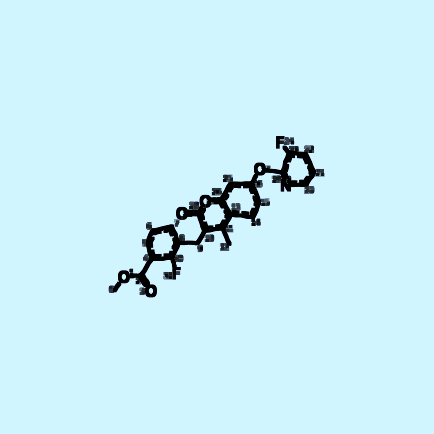 COC(=O)c1cccc(Cc2c(C)c3ccc(Oc4ncccc4F)cc3oc2=O)c1F